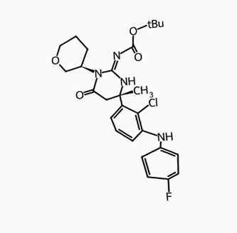 CC(C)(C)OC(=O)/N=C1\N[C@](C)(c2cccc(Nc3ccc(F)cc3)c2Cl)CC(=O)N1[C@@H]1CCCOC1